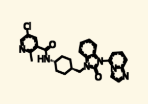 Cc1ncc(Cl)cc1C(=O)N[C@H]1CC[C@H](Cn2c(=O)n(-c3cccc4nccn34)c3ccccc32)CC1